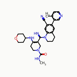 CNC(=O)N1CCC(NC2CCOCC2)=C(C(=N)N2CCCc3cc(-c4cnccc4C)c(C#N)cc32)C1